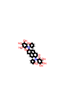 Oc1c(O)c(O)c(N(c2ccccc2)c2ccc3ccc4c(N(c5ccccc5)c5c(O)c(O)c(O)c(O)c5O)ccc5ccc2c3c54)c(O)c1O